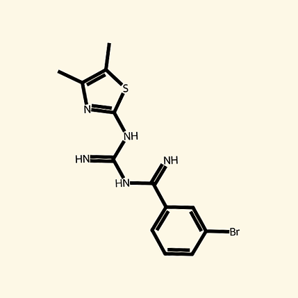 Cc1nc(NC(=N)NC(=N)c2cccc(Br)c2)sc1C